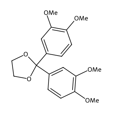 COc1ccc(C2(c3ccc(OC)c(OC)c3)OCCO2)cc1OC